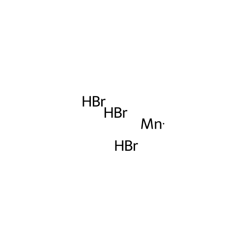 Br.Br.Br.[Mn]